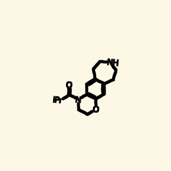 CC(C)C(=O)N1CCOc2cc3c(cc21)CCNCC3